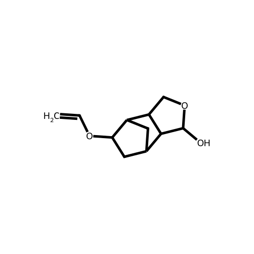 C=COC1CC2CC1C1COC(O)C21